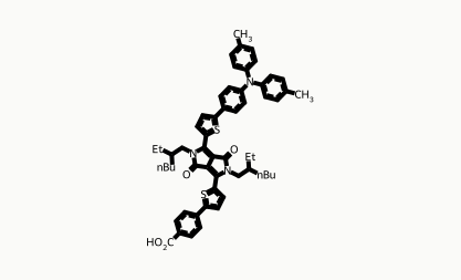 CCCCC(CC)CN1C(=O)C2=C(c3ccc(-c4ccc(N(c5ccc(C)cc5)c5ccc(C)cc5)cc4)s3)N(CC(CC)CCCC)C(=O)C2=C1c1ccc(-c2ccc(C(=O)O)cc2)s1